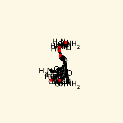 N=C(NCCCCc1ccc(OCCN(CCCNC(=O)[C@H](CCCCN)NC[C@H](O)[C@@H](O)[C@H](O)[C@H](O)CO)CCCNC(=O)[C@H](CCCCN)NC[C@H](O)[C@@H](O)[C@H](O)[C@H](O)CO)cc1)NC(=O)c1nc(Cl)c(N)nc1N